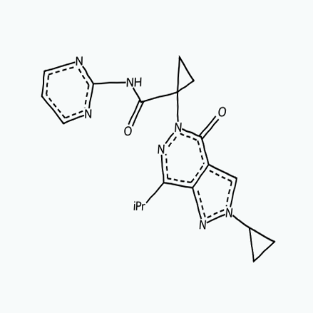 CC(C)c1nn(C2(C(=O)Nc3ncccn3)CC2)c(=O)c2cn(C3CC3)nc12